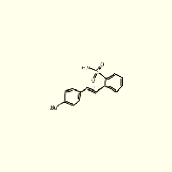 CC(C)(C)c1ccc(/C=C/c2ccccc2S(N)(=O)=O)cc1